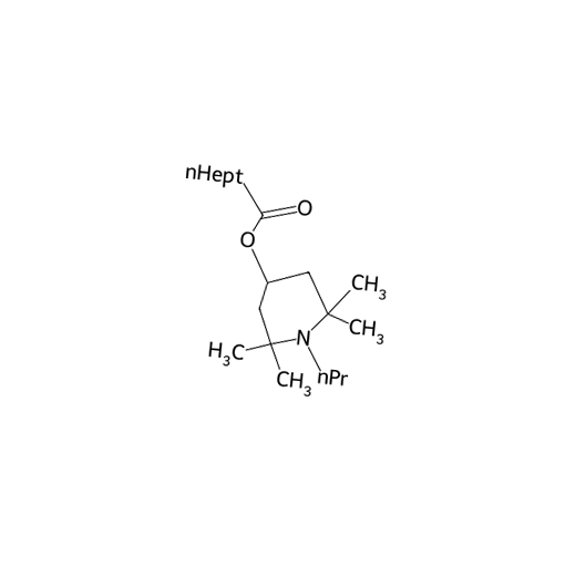 CCCCCCCC(=O)OC1CC(C)(C)N(CCC)C(C)(C)C1